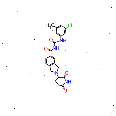 Cc1cc(Cl)cc(NC(=O)NC(=O)c2ccc3c(c2)CN(C2CCC(=O)NC2=O)C3)c1